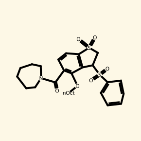 CCCCCCCCOc1c(C(=O)N2CCCCCC2)ccc2c1C(S(=O)(=O)c1ccccc1)CS2(=O)=O